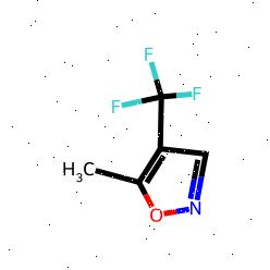 Cc1oncc1C(F)(F)F